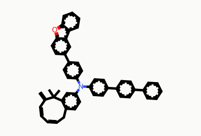 C=C1/C=C\C=C/Cc2ccc(N(c3ccc(-c4ccc(-c5ccccc5)cc4)cc3)c3ccc(-c4ccc5oc6ccccc6c5c4)cc3)cc2C1(C)C